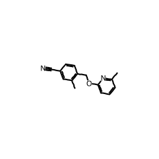 Cc1cccc(OCc2ccc(C#N)cc2C)n1